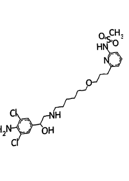 CS(=O)(=O)Nc1cccc(CCCOCCCCCCNCC(O)c2cc(Cl)c(N)c(Cl)c2)n1